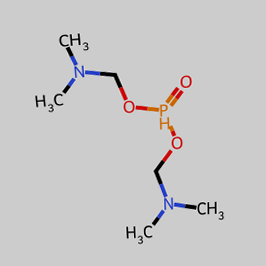 CN(C)CO[PH](=O)OCN(C)C